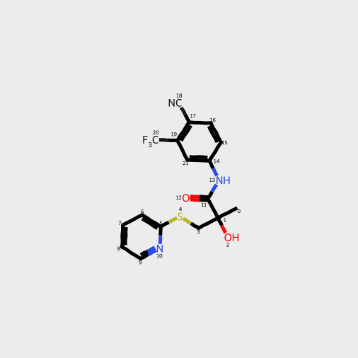 CC(O)(CSc1ccccn1)C(=O)Nc1ccc(C#N)c(C(F)(F)F)c1